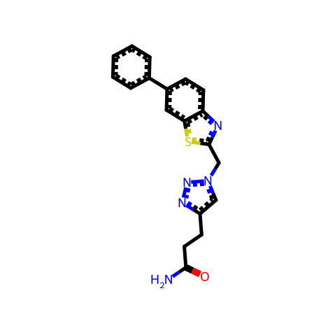 NC(=O)CCc1cn(Cc2nc3ccc(-c4ccccc4)cc3s2)nn1